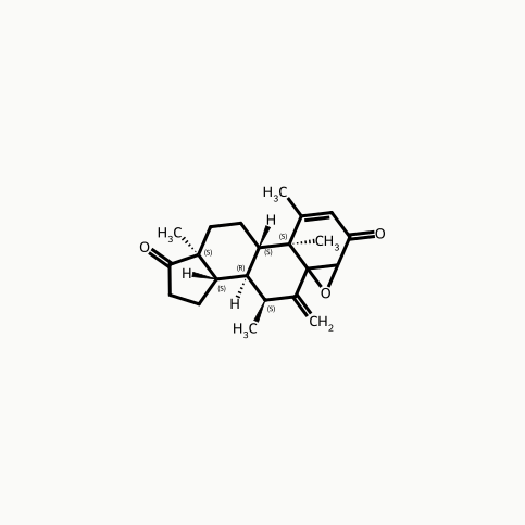 C=C1[C@@H](C)[C@H]2[C@@H]3CCC(=O)[C@@]3(C)CC[C@@H]2[C@@]2(C)C(C)=CC(=O)C3OC132